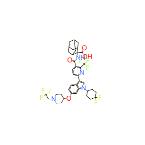 O=C(NC1(C(=O)O)C2CC3CC(C2)CC1C3)c1ccc(-c2cn(C3CCC(F)(F)CC3)c3cc(OC4CCN(CC(F)(F)F)CC4)ccc23)nc1C(F)(F)F